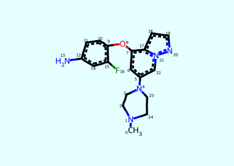 CN1CCN(c2cc(Oc3ccc(N)cc3F)c3ccnn3c2)CC1